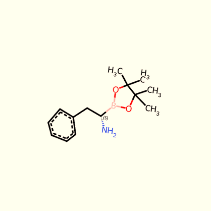 CC1(C)OB([C@H](N)Cc2ccccc2)OC1(C)C